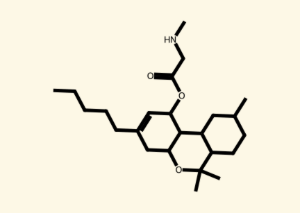 CCCCCC1=CC(OC(=O)CNC)C2C(C1)OC(C)(C)C1CCC(C)CC21